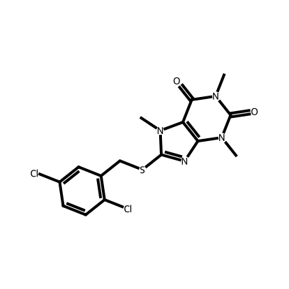 Cn1c(=O)c2c(nc(SCc3cc(Cl)ccc3Cl)n2C)n(C)c1=O